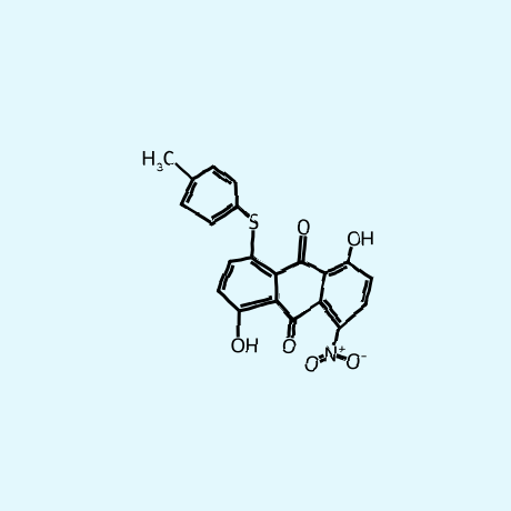 Cc1ccc(Sc2ccc(O)c3c2C(=O)c2c(O)ccc([N+](=O)[O-])c2C3=O)cc1